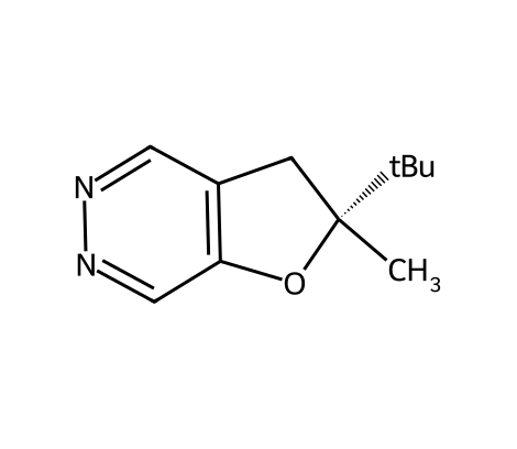 CC(C)(C)[C@@]1(C)Cc2cnncc2O1